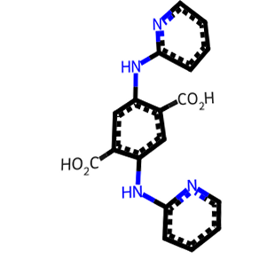 O=C(O)c1cc(Nc2ccccn2)c(C(=O)O)cc1Nc1ccccn1